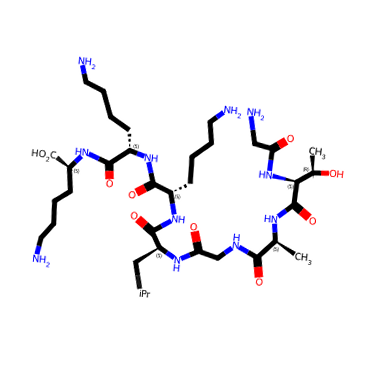 CC(C)C[C@H](NC(=O)CNC(=O)[C@H](C)NC(=O)[C@@H](NC(=O)CN)[C@@H](C)O)C(=O)N[C@@H](CCCCN)C(=O)N[C@@H](CCCCN)C(=O)N[C@@H](CCCCN)C(=O)O